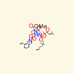 C=CCCC(C)(C)COC(=O)N[C@@H](CCC(=O)C=C(C)C)C(=O)N1C[C@H](OC(=O)N2Cc3cccc(C=C)c3C2)C[C@H]1C(=O)OC